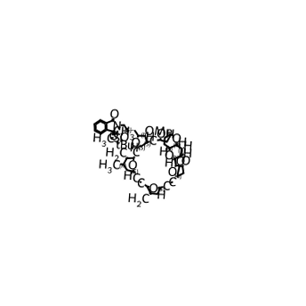 C=C1C[C@@H]2CC[C@@]34CC5O[C@H]6[C@@H](O3)[C@H]3OC(CC[C@@H]3O[C@H]6C5O4)CC(O)C[C@H]3[C@H](CC4O[C@@H](CCC1O2)C[C@@H](C)C4=C)OC(C[C@@H](CN1C(=O)c2ccccc2C1=O)O[Si](C)(C)C(C)(C)C)[C@@H]3OC